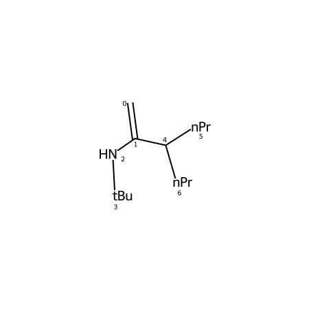 C=C(NC(C)(C)C)C(CCC)CCC